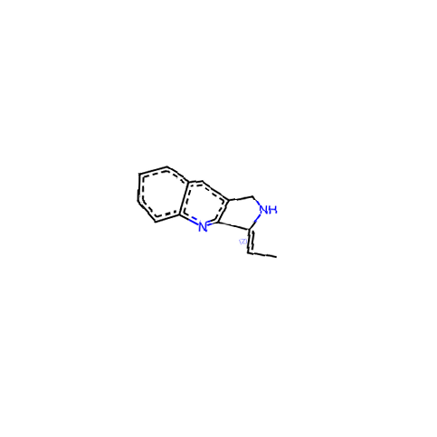 C/C=C1\NCc2cc3ccccc3nc21